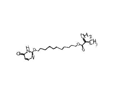 C=C(C)C(=O)OCCCCCCCCCCCOc1nccc(=O)[nH]1